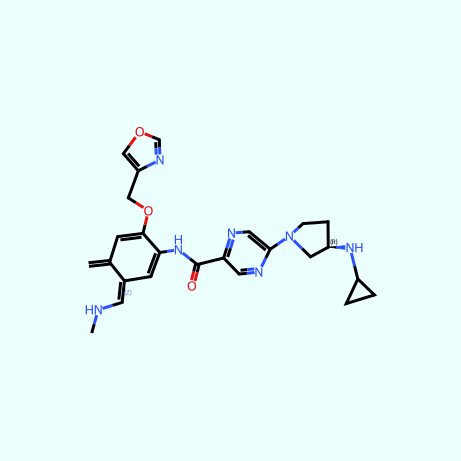 C=c1cc(OCc2cocn2)c(NC(=O)c2cnc(N3CC[C@@H](NC4CC4)C3)cn2)c/c1=C/NC